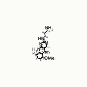 COc1ccc(F)cc1C(=O)c1cnc(NCCCN)nc1N